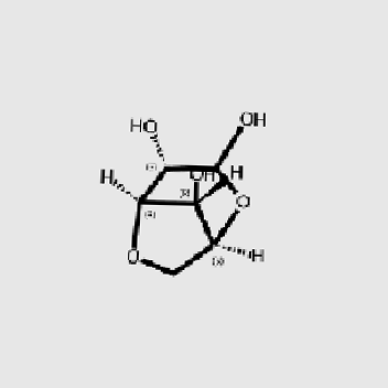 OC1O[C@H]2CO[C@H]([C@@H]2O)[C@@H]1O